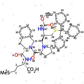 CSCC[C@H](NC(=O)[C@@H]1Cc2ccccc2CN1C(=O)[C@@H]1CCCN1C[C@H](CSC(c1ccccc1)(c1ccccc1)c1ccccc1)NC(=O)OC(C)(C)C)C(=O)O